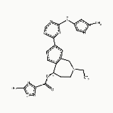 Cn1cc(Nc2ncnc(-c3ccc4c(c3)CN(CC(F)(F)F)CC[C@H]4NC(=O)c3noc(C(C)(C)C)n3)n2)cn1